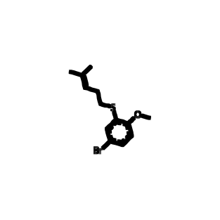 COc1ccc(Br)cc1SCCC=C(C)C